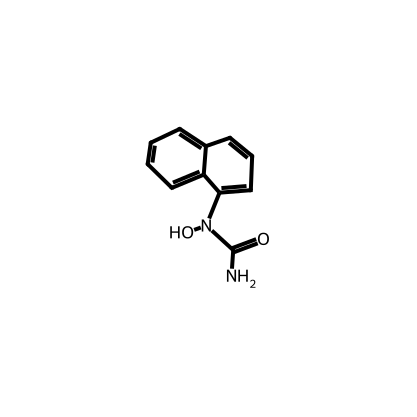 NC(=O)N(O)c1cccc2ccccc12